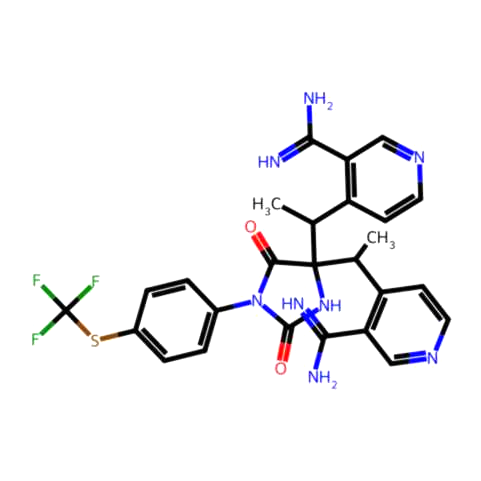 CC(c1ccncc1C(=N)N)C1(C(C)c2ccncc2C(=N)N)NC(=O)N(c2ccc(SC(F)(F)F)cc2)C1=O